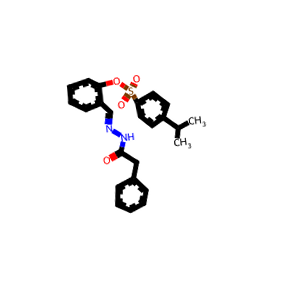 CC(C)c1ccc(S(=O)(=O)Oc2ccccc2C=NNC(=O)Cc2ccccc2)cc1